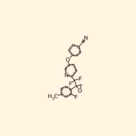 Cc1ccc(C2(C(F)(F)c3ccc(Oc4ccc(C#N)cc4)cn3)CO2)c(F)c1